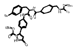 CC(C)(C)OC(=O)NCC1CCC(C(=O)NC(Cc2ccc(Br)cc2)C(=O)Nc2ccc(-c3cc(=O)[nH]n3C(=O)OC(C)(C)C)cc2)CC1